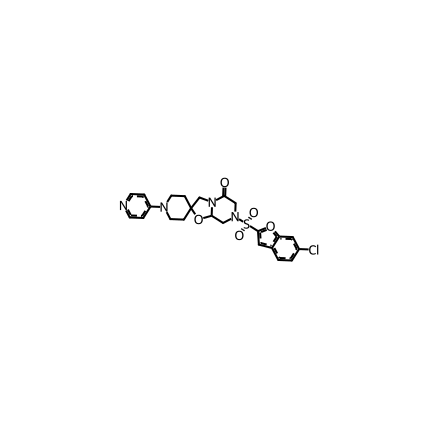 O=C1CN(S(=O)(=O)c2cc3ccc(Cl)cc3o2)CC2OC3(CCN(c4ccncc4)CC3)CN12